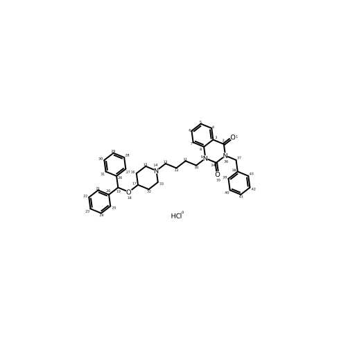 Cl.O=c1c2ccccc2n(CCCCN2CCC(OC(c3ccccc3)c3ccccc3)CC2)c(=O)n1Cc1ccccc1